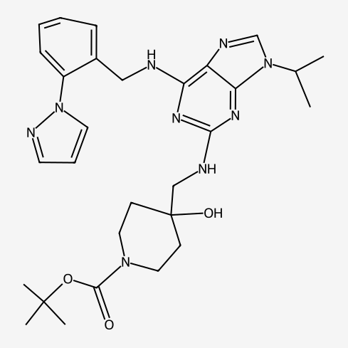 CC(C)n1cnc2c(NCc3ccccc3-n3cccn3)nc(NCC3(O)CCN(C(=O)OC(C)(C)C)CC3)nc21